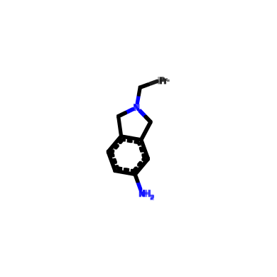 C[C](C)CN1Cc2ccc(N)cc2C1